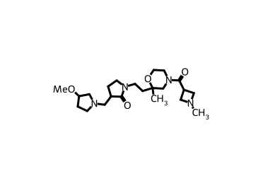 COC1CCN(CC2CCN(CCC3(C)CN(C(=O)C4CN(C)C4)CCO3)C2=O)C1